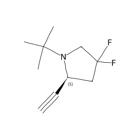 C#C[C@@H]1CC(F)(F)CN1C(C)(C)C